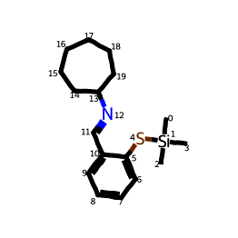 C[Si](C)(C)Sc1ccccc1C=NC1CCCCCC1